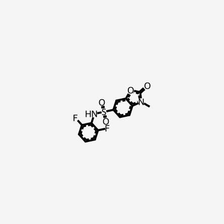 Cn1c(=O)oc2cc(S(=O)(=O)Nc3c(F)cccc3F)ccc21